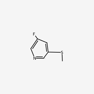 CSc1[c]ncc(F)c1